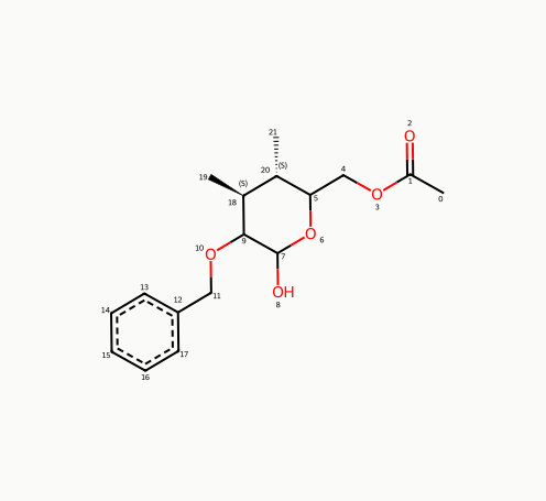 CC(=O)OCC1OC(O)C(OCc2ccccc2)[C@@H](C)[C@@H]1C